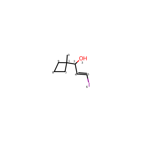 CC1(C(O)/C=C/I)CCC1